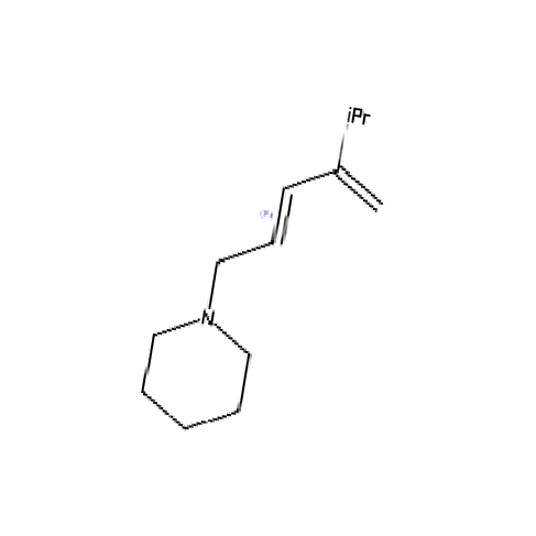 C=C(/C=C/CN1CCCCC1)C(C)C